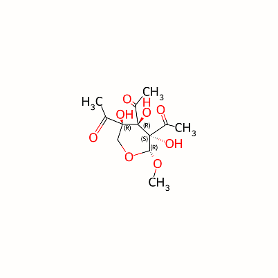 CO[C@@H]1OC[C@](O)(C(C)=O)[C@](O)(C(C)=O)[C@@]1(O)C(C)=O